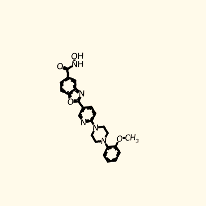 COc1ccccc1N1CCN(c2ccc(-c3nc4cc(C(=O)NO)ccc4o3)cn2)CC1